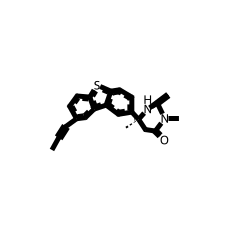 C=C1N[C@](C)(c2ccc3sc4ccc(C#CC)cc4c3c2)CC(=O)N1C